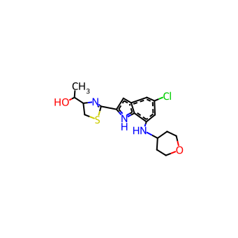 CC(O)C1CSC(c2cc3cc(Cl)cc(NC4CCOCC4)c3[nH]2)=N1